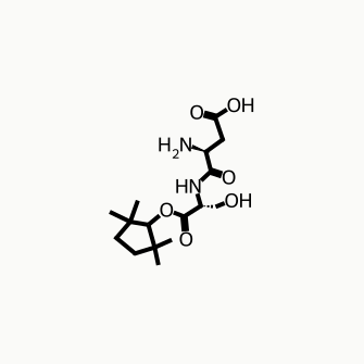 CC1(C)CCC(C)(C)C1OC(=O)[C@@H](CO)NC(=O)[C@@H](N)CC(=O)O